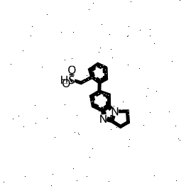 O=[SH](=O)Cc1ccccc1-c1ccc2nc3n(c2c1)CCC3